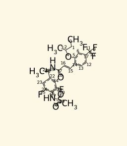 CCC(C)Oc1cc(C(F)(F)F)ccc1C=CC(=O)N[C@H](C)c1cc(F)c(NS(C)(=O)=O)c(F)c1